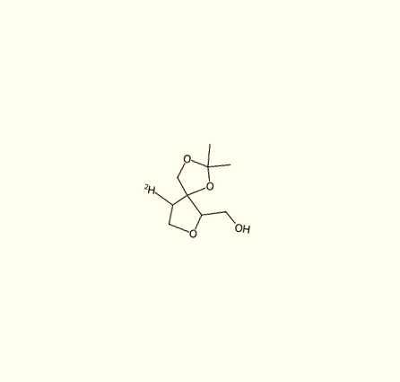 [2H]C1COC(CO)C12COC(C)(C)O2